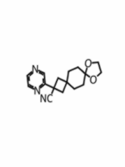 N#CC1(c2cnccn2)CC2(CCC3(CC2)OCCO3)C1